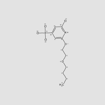 CCCCOCCOc1cc(C(Cl)(Cl)Cl)cc(Cl)n1